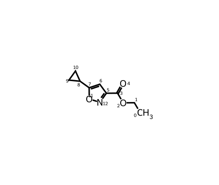 CCOC(=O)c1cc(C2CC2)on1